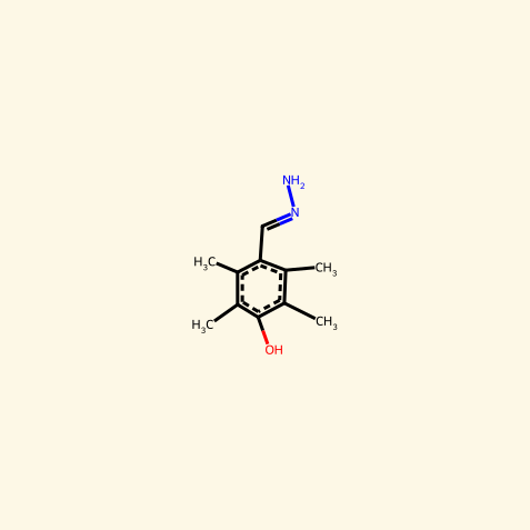 Cc1c(C)c(/C=N/N)c(C)c(C)c1O